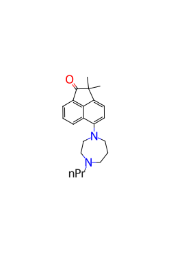 CCCN1CCCN(c2ccc3c4c(cccc24)C(=O)C3(C)C)CC1